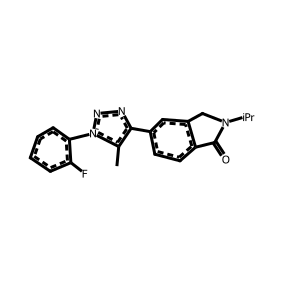 Cc1c(-c2ccc3c(c2)CN(C(C)C)C3=O)nnn1-c1ccccc1F